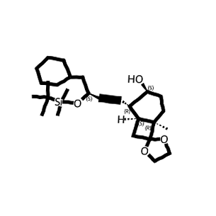 CC(C)(C)[Si](C)(C)O[C@H](C#C[C@@H]1[C@@H](O)CC[C@]2(C)[C@H]1CC21OCCO1)CC1CCCCC1